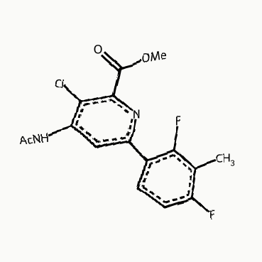 COC(=O)c1nc(-c2ccc(F)c(C)c2F)cc(NC(C)=O)c1Cl